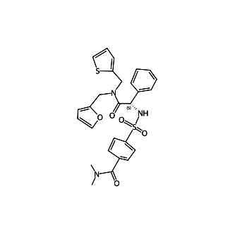 CN(C)C(=O)c1ccc(S(=O)(=O)N[C@H](C(=O)N(Cc2ccco2)Cc2cccs2)c2ccccc2)cc1